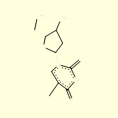 COC[C@H]1O[C@@H](n2cc(C)c(=O)[nH]c2=O)CC1OC